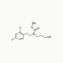 CC(C)(C)OC(=O)N(CCCO)CCc1ccc(F)cc1F